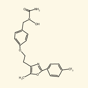 Cc1oc(-c2ccc(C(F)(F)F)cc2)nc1CCOc1ccc(CN(O)C(N)=O)cc1